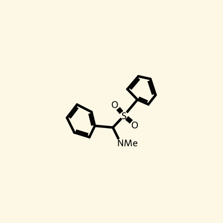 CNC(c1ccccc1)S(=O)(=O)c1ccccc1